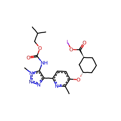 Cc1nc(-c2nnn(C)c2NC(=O)OCC(C)C)ccc1O[C@H]1CCC[C@H](C(=O)OI)C1